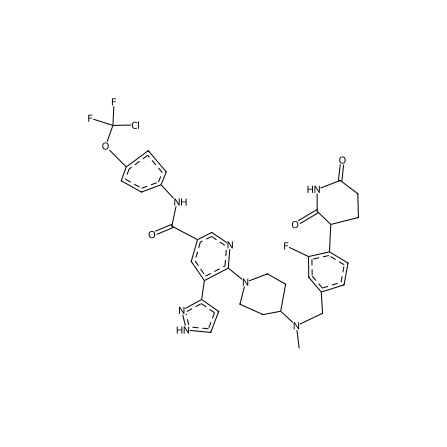 CN(Cc1ccc(C2CCC(=O)NC2=O)c(F)c1)C1CCN(c2ncc(C(=O)Nc3ccc(OC(F)(F)Cl)cc3)cc2-c2cc[nH]n2)CC1